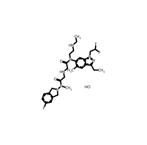 CCNCCN(C(=O)CNCC(=O)N(C)N1Cc2ccc(F)cc2C1)c1cc2c(cc1C)c(CC)nn2CC(F)F.Cl